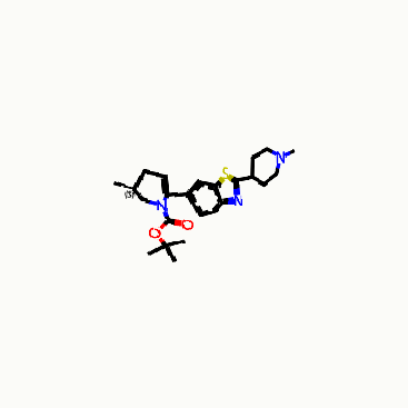 C[C@H]1CC=C(c2ccc3nc(C4CCN(C)CC4)sc3c2)N(C(=O)OC(C)(C)C)C1